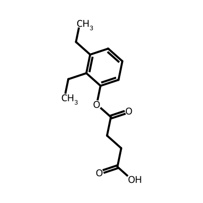 CCc1cccc(OC(=O)CCC(=O)O)c1CC